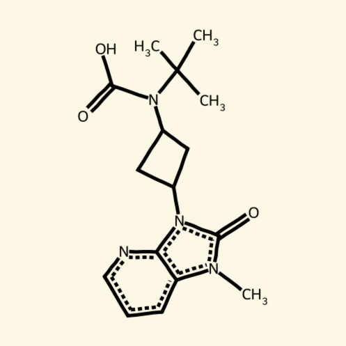 Cn1c(=O)n(C2CC(N(C(=O)O)C(C)(C)C)C2)c2ncccc21